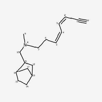 C#C/C=C\C=C/CCN(C)CC1CC2CCC1C2